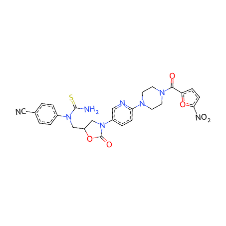 N#Cc1ccc(N(CC2CN(c3ccc(N4CCN(C(=O)c5ccc([N+](=O)[O-])o5)CC4)nc3)C(=O)O2)C(N)=S)cc1